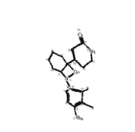 Cc1c(C(C)(C)C)cc[si](N2OC3(C4CCNC(=O)C4)CCCCC23)c1C